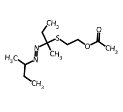 CCC(C)N=NC(C)(CC)SCCOC(C)=O